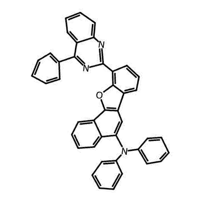 c1ccc(-c2nc(-c3cccc4c3oc3c5ccccc5c(N(c5ccccc5)c5ccccc5)cc43)nc3ccccc23)cc1